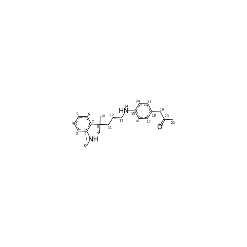 CNc1ccccc1C(C)(C)C/C=C/Nc1ccc(CC(C)=O)cc1